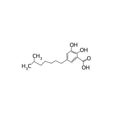 CC(C)CCCCCc1cc(O)c(O)c(C(=O)O)c1